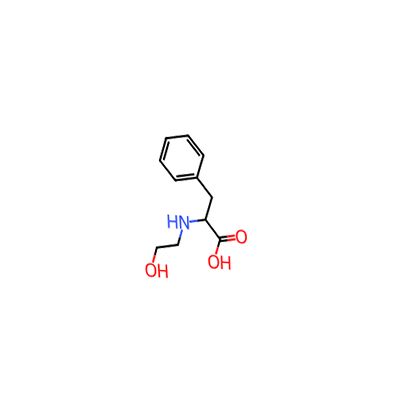 O=C(O)C(Cc1ccccc1)NCCO